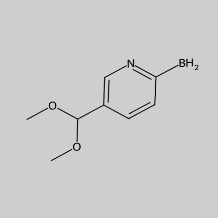 Bc1ccc(C(OC)OC)cn1